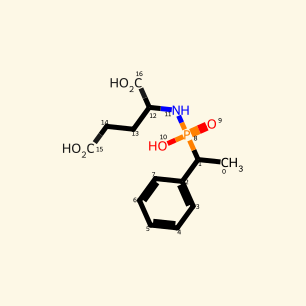 CC(c1ccccc1)P(=O)(O)NC(CCC(=O)O)C(=O)O